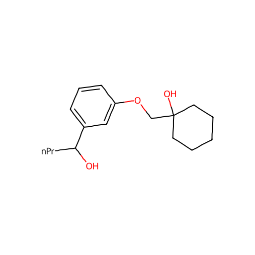 CCCC(O)c1cccc(OCC2(O)CCCCC2)c1